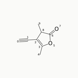 C#CC1=C(C)OC(=O)C1C